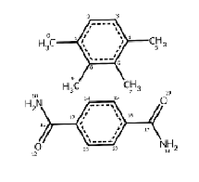 Cc1ccc(C)c(C)c1C.NC(=O)c1ccc(C(N)=O)cc1